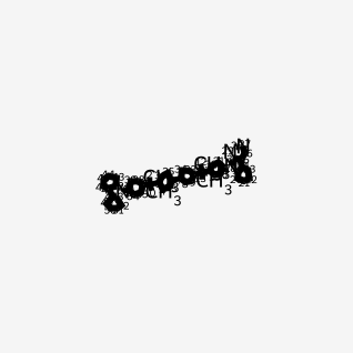 CC(C)(c1ccc(-c2ccc(C(C)(C)c3ccc(-n4c5ccccc5c5cncnc54)cc3)cc2)cc1)c1ccc(-n2c3ccccc3c3ccccc32)cc1